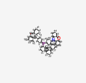 Cc1cc(C)c(B(c2ccc(P3c4ccccc4[Si](c4ccccc4)(c4ccccc4)c4cc(N5c6ccccc6Oc6ccccc65)ccc43)cc2)c2c(C)cc(C)cc2C)c(C)c1